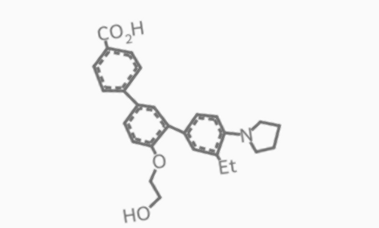 CCc1cc(-c2cc(-c3ccc(C(=O)O)cc3)ccc2OCCO)ccc1N1CCCC1